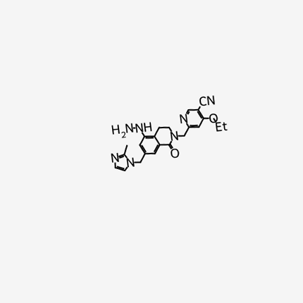 CCOc1cc(CN2CCc3c(NN)cc(Cn4ccnc4C)cc3C2=O)ncc1C#N